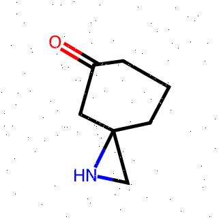 O=C1CCCC2(CN2)C1